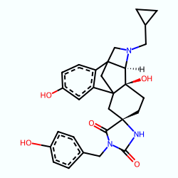 O=C1N[C@]2(CC[C@@]3(O)[C@@H]4N(CC5CC5)CC45CC3(C2)c2cc(O)ccc25)C(=O)N1Cc1ccc(O)cc1